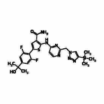 CC(C)(O)c1cc(F)c(-c2cc(C(N)=O)c(Nc3ccnc(Cn4cc([Si](C)(C)C)nn4)n3)s2)c(F)c1